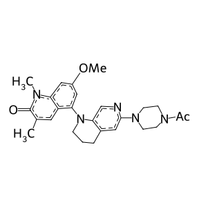 COc1cc(N2CCCc3cc(N4CCN(C(C)=O)CC4)ncc32)c2cc(C)c(=O)n(C)c2c1